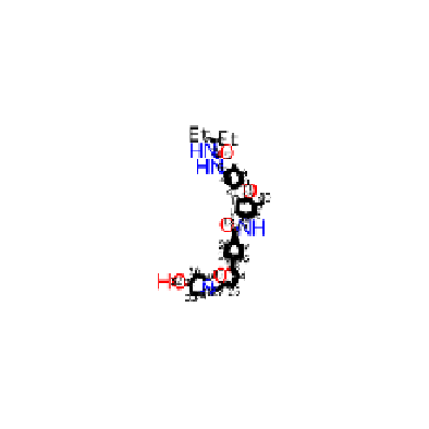 CCC(CC)NC(=O)Nc1ccc(Oc2ccc(NC(=O)c3ccc(-c4ccc(CN5CCC(O)CC5)o4)cc3)cc2C)cc1